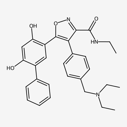 CCNC(=O)c1noc(-c2cc(-c3ccccc3)c(O)cc2O)c1-c1ccc(CN(CC)CC)cc1